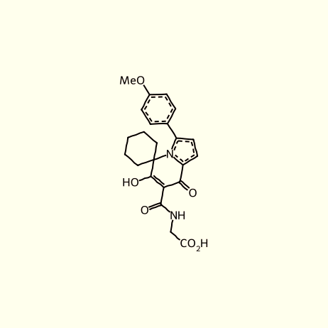 COc1ccc(-c2ccc3n2C2(CCCCC2)C(O)=C(C(=O)NCC(=O)O)C3=O)cc1